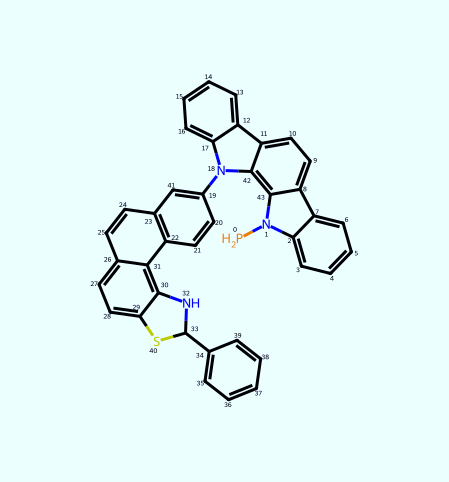 Pn1c2ccccc2c2ccc3c4ccccc4n(-c4ccc5c(ccc6ccc7c(c65)NC(c5ccccc5)S7)c4)c3c21